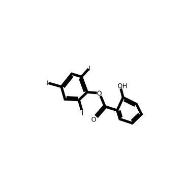 O=C(Oc1c(I)cc(I)cc1I)c1ccccc1O